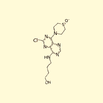 [O-][S+]1CCN(c2nc(Cl)nc3c(NCCCCO)ncnc23)CC1